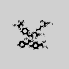 N=C(N)NCCC[C@H](NC(=O)[C@@H](NC(=O)[C@H](Cc1ccc(C(=N)N)cc1)c1cccnc1)C1CCCCC1)C(N)=O.O=C(O)C(F)(F)F